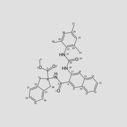 COC(=O)C1(NC(=O)c2cc3ccccc3cc2NC(=O)Nc2c(C)cc(C)cc2C)Cc2ccccc2C1